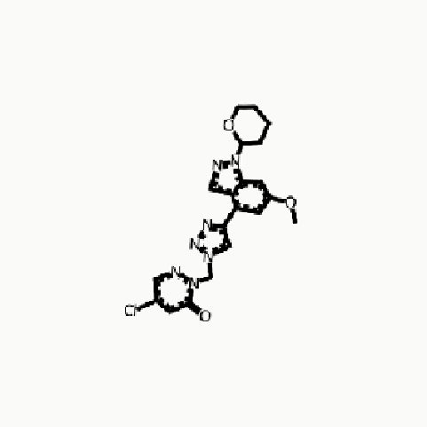 COc1cc(-c2cn(Cn3ncc(Cl)cc3=O)nn2)c2cnn(C3CCCCO3)c2c1